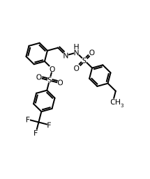 CCc1ccc(S(=O)(=O)N/N=C/c2ccccc2OS(=O)(=O)c2ccc(C(F)(F)F)cc2)cc1